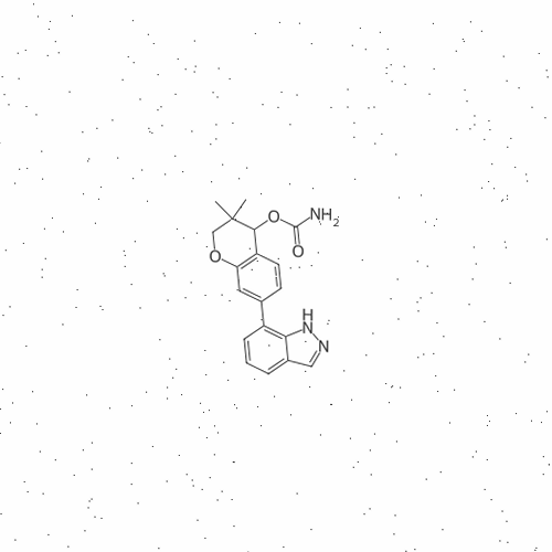 CC1(C)COc2cc(-c3cccc4cn[nH]c34)ccc2C1OC(N)=O